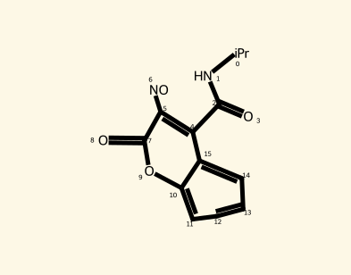 CC(C)NC(=O)c1c(N=O)c(=O)oc2ccccc12